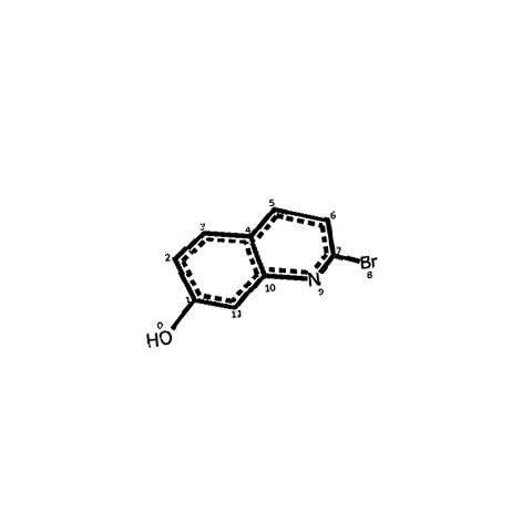 Oc1ccc2ccc(Br)nc2c1